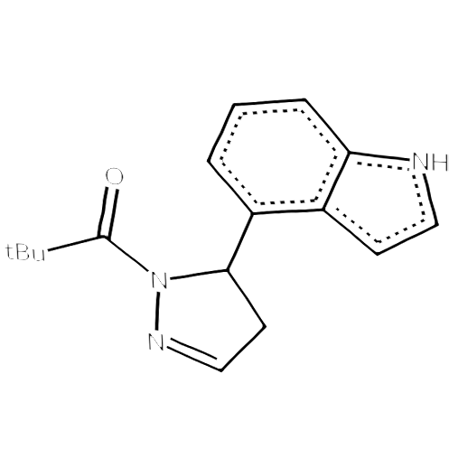 CC(C)(C)C(=O)N1N=CCC1c1cccc2[nH]ccc12